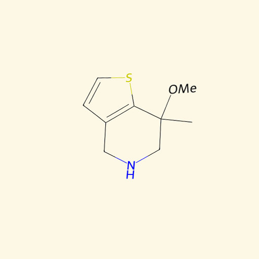 COC1(C)CNCc2ccsc21